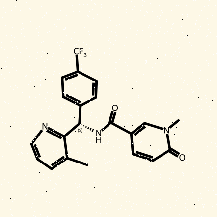 Cc1cccnc1[C@@H](NC(=O)c1ccc(=O)n(C)c1)c1ccc(C(F)(F)F)cc1